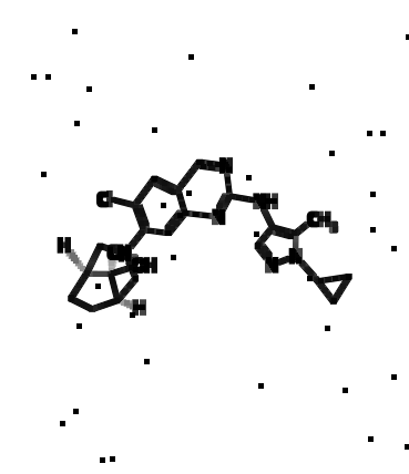 Cc1c(Nc2ncc3cc(Cl)c(N4C[C@H]5CC[C@@H](C4)[C@@]5(C)O)cc3n2)cnn1C1CC1